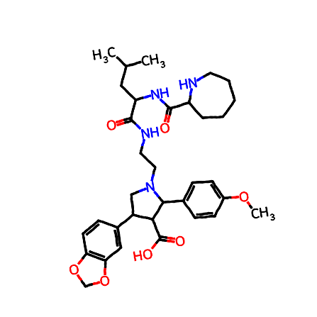 COc1ccc(C2C(C(=O)O)C(c3ccc4c(c3)OCO4)CN2CCNC(=O)C(CC(C)C)NC(=O)C2CCCCCN2)cc1